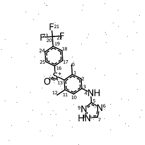 Cc1cc(Nc2nc[nH]n2)cc(C)c1[S+]([O-])c1ccc(C(F)(F)F)cc1